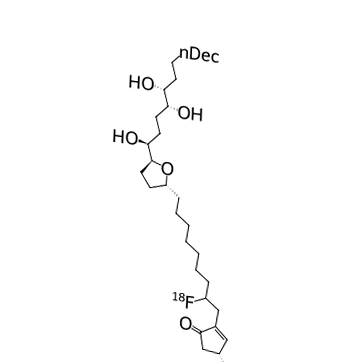 CCCCCCCCCCCC[C@@H](O)[C@H](O)CC[C@H](O)[C@@H]1CC[C@@H](CCCCCCCC([18F])CC2=C[C@H](C)CC2=O)O1